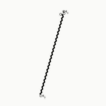 CCCCCCCCCCCCCCCCCCCCCCCCCCCCCCCCCCCCCCCCCCCCCCCC(=O)OC